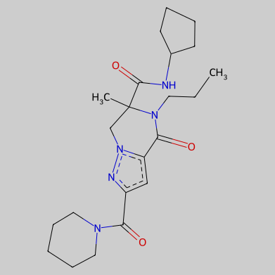 CCCN1C(=O)c2cc(C(=O)N3CCCCC3)nn2CC1(C)C(=O)NC1CCCC1